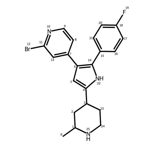 CC1CC(c2cc(-c3ccnc(Br)c3)c(-c3ccc(F)cc3)[nH]2)CCN1